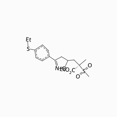 CCOC(=O)[C@@](C)(CC1CC(c2ccc(SCC)cc2)=NO1)S(C)(=O)=O